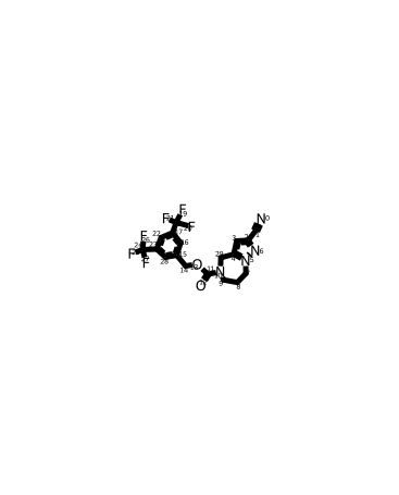 N#Cc1cc2n(n1)CCCN(C(=O)OCc1cc(C(F)(F)F)cc(C(F)(F)F)c1)C2